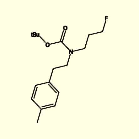 Cc1ccc(CCN(CCCF)C(=O)OC(C)(C)C)cc1